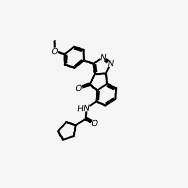 COc1ccc(C2=C3C(=O)c4c(NC(=O)C5CCCC5)cccc4C3N=N2)cc1